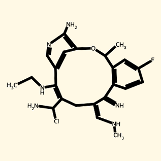 CCN/C1=C(\C(N)Cl)C/C(=C/NC)C(=N)c2ccc(F)cc2C(C)Oc2cc1cnc2N